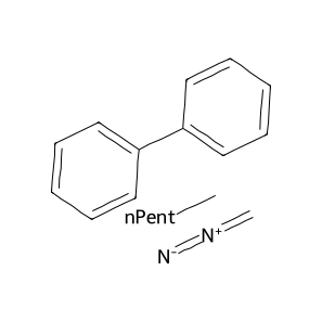 C=[N+]=[N-].CCCCCC.c1ccc(-c2ccccc2)cc1